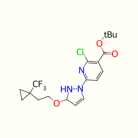 CC(C)(C)OC(=O)c1ccc(N2C=CC(OCCC3(C(F)(F)F)CC3)N2)nc1Cl